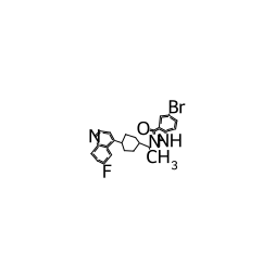 CC(C1CCC(c2ccnc3ccc(F)cc23)CC1)n1[nH]c2ccc(Br)cc2c1=O